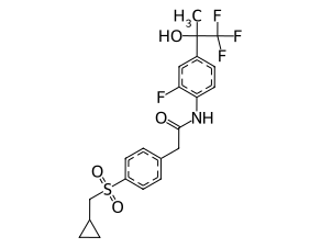 CC(O)(c1ccc(NC(=O)Cc2ccc(S(=O)(=O)CC3CC3)cc2)c(F)c1)C(F)(F)F